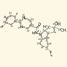 CC(C)(O)Cc1cn(NC(=O)c2cnc(-c3cccc(F)c3)nc2)c2ccc(F)cc12